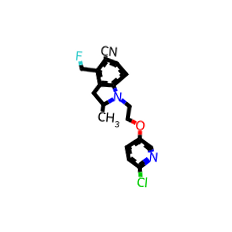 CC1Cc2c(ccc(C#N)c2CF)N1CCOc1ccc(Cl)nc1